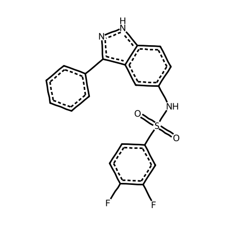 O=S(=O)(Nc1ccc2[nH]nc(-c3ccccc3)c2c1)c1ccc(F)c(F)c1